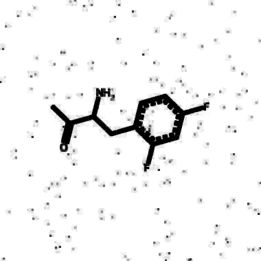 CC(=O)C(N)Cc1ccc(F)cc1F